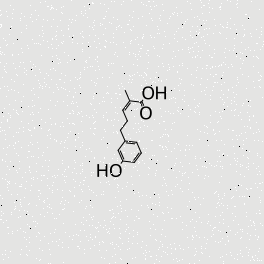 CC(=CCCc1cccc(O)c1)C(=O)O